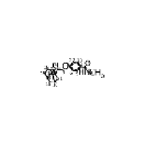 CNC(=O)c1ccc(OCC(=O)C23CC4CC(CC(C4)C2)C3)cc1